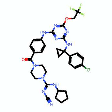 N#C/N=C(\NC1CCCC1)N1CCN(C(=O)c2ccc(Nc3nc(NC4(c5ccc(Cl)cc5)CC4)nc(OCC(F)(F)F)n3)cc2)CC1